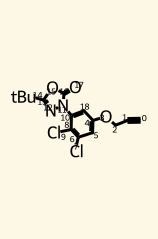 C#CCOc1cc(Cl)c(Cl)c(-n2nc(C(C)(C)C)oc2=O)c1